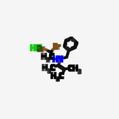 C=C(Br)Br.CC(C)=C(C)NCc1ccccc1.Cl